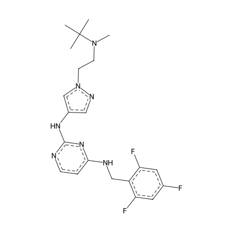 CN(CCn1cc(Nc2nccc(NCc3c(F)cc(F)cc3F)n2)cn1)C(C)(C)C